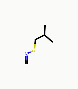 C=NSCC(C)C